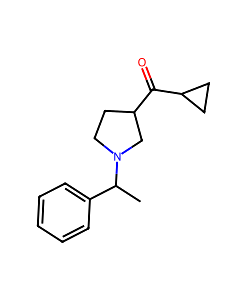 CC(c1ccccc1)N1CCC(C(=O)C2CC2)C1